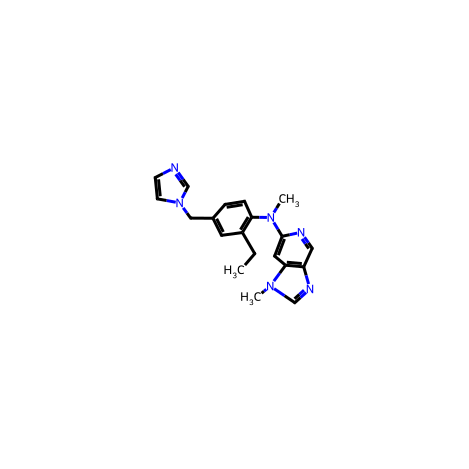 CCc1cc(Cn2ccnc2)ccc1N(C)c1cc2c(cn1)ncn2C